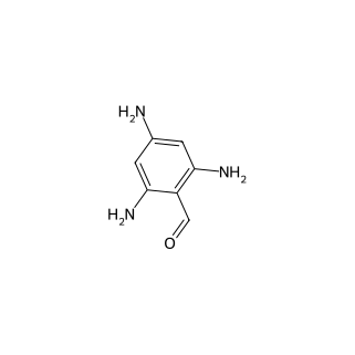 Nc1cc(N)c(C=O)c(N)c1